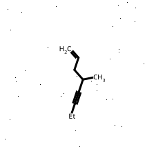 C=CC[C](C)C#CCC